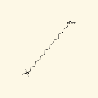 [CH2]CCCCCCCCCCCCCCCCCCCCCCCCC[CH2][Ge]([CH3])([CH3])[CH3]